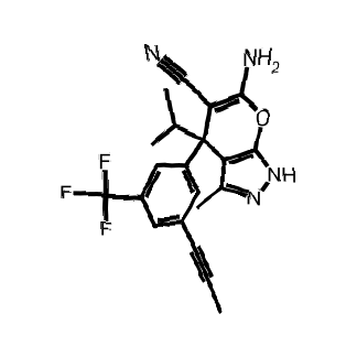 CC#Cc1cc(C(F)(F)F)cc(C2(C(C)C)C(C#N)=C(N)Oc3[nH]nc(C)c32)c1